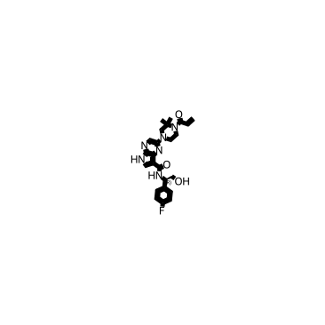 C=CC(=O)N1CCN(c2cnc3[nH]cc(C(=O)N[C@@H](CO)c4ccc(F)cc4)c3n2)CC1(C)C